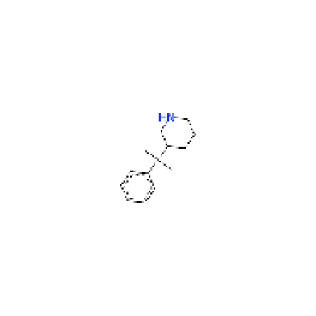 CC(C)(c1ccccc1)C1CCCNC1